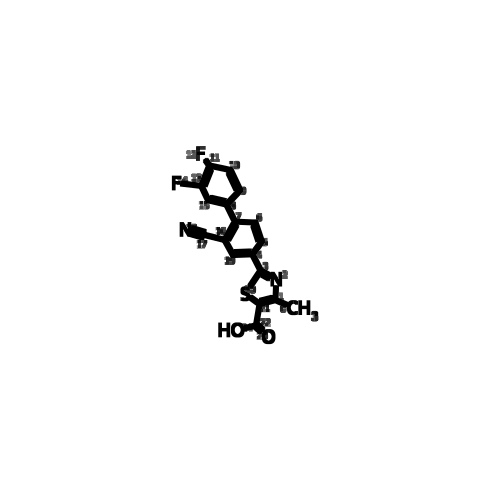 Cc1nc(-c2ccc(-c3ccc(F)c(F)c3)c(C#N)c2)sc1C(=O)O